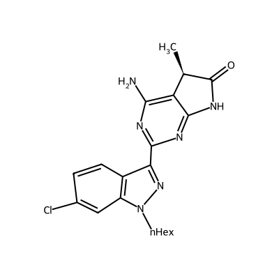 CCCCCCn1nc(-c2nc(N)c3c(n2)NC(=O)[C@@H]3C)c2ccc(Cl)cc21